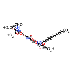 O=[C][C@H](CCC(=O)O)NC(=O)[C@H](CCC(=O)O)NC(=O)COCCOCCNC(=O)COCCOCCN(NC(=O)CCCCCCCCCCCCCCCCC(=O)O)C(=O)CCCC(=O)O